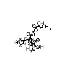 CCC(C)C(=O)OCOC(=O)C1=C(S[C@H]2CC[S@@+]([O-])C2)S[C@@H]2[C@@H]([C@@H](C)O)C(=O)N12